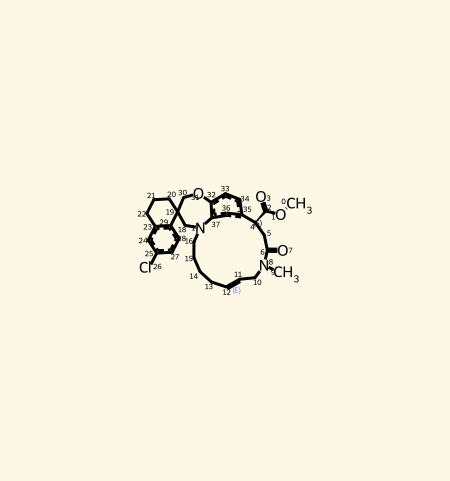 COC(=O)[C@H]1CC(=O)N(C)C/C=C/CCCCN2CC3(CCCc4cc(Cl)ccc43)COc3ccc1cc32